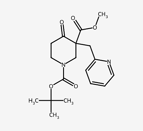 COC(=O)C1(Cc2ccccn2)CN(C(=O)OC(C)(C)C)CCC1=O